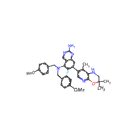 COc1ccc(CN(Cc2ccc(OC)cc2)c2c(F)c(-c3cnc4c(c3C)NCC(C)(C)O4)cc3nc(N)ncc23)cc1